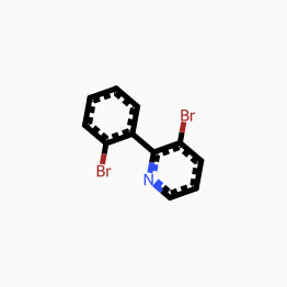 Brc1ccccc1-c1ncccc1Br